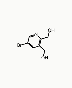 OCc1cc(Br)cnc1CO